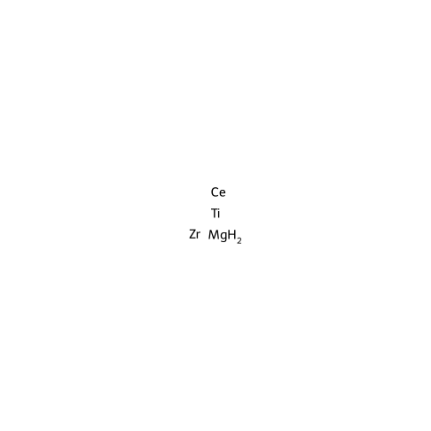 [Ce].[MgH2].[Ti].[Zr]